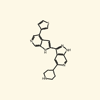 c1cc(-c2cncc3[nH]c(-c4n[nH]c5cnc(C6CCNCC6)cc45)cc23)cs1